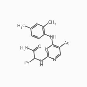 CC(=O)c1cnc(NC(C(N)=O)C(C)C)nc1Nc1ccc(C)cc1C